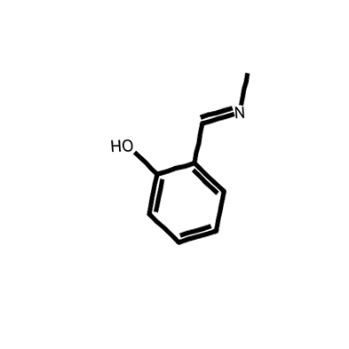 CN=Cc1ccccc1O